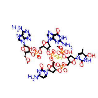 COC[C@H]1O[C@@H](n2cnc3c(N)ncnc32)CC1OP(=O)(O)OCC1OC(n2cnc3c(=O)[nH]c(N)nc32)C[C@H]1OP(=O)(S)OCC1O[C@@H](n2ccc(N)nc2=O)CC1OP(=O)(O)OCC1OC(N2C=C(C)C(O)NC2=O)CC1OP(=O)(O)OC